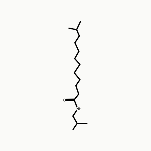 CC(C)CCCCCCCCCC(=O)NCC(C)C